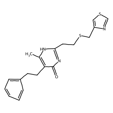 Cc1[nH]c(CCSCc2cscn2)nc(=O)c1CCc1ccccc1